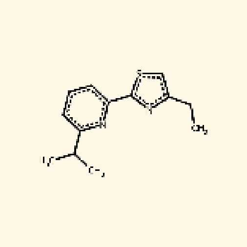 CCc1csc(-c2cccc(C(C)C)n2)n1